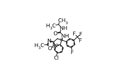 Cc1nc(C[C@@](NC(=O)NC(C)C)(c2cc(F)cc(C(F)(F)F)c2)c2ccc(Cl)cn2)no1